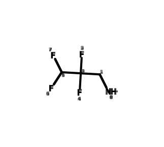 [NH]CC(F)(F)C(F)F